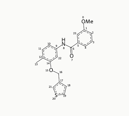 COc1cccc(C(=O)Nc2ccc(C)c(OCc3ccsc3)c2)c1